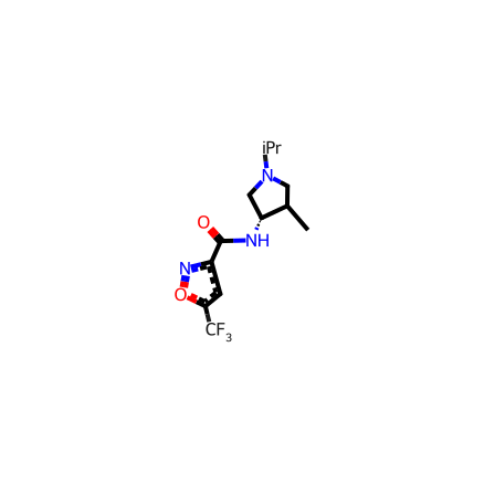 CC1CN(C(C)C)C[C@H]1NC(=O)c1cc(C(F)(F)F)on1